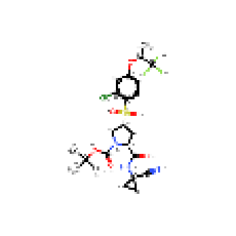 C[C@H](Oc1ccc(S(=O)(=O)[C@@H]2C[C@@H](C(=O)NC3(C#N)CC3)N(C(=O)OC(C)(C)C)C2)c(Cl)c1)C(F)(F)F